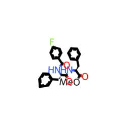 COC(=O)[C@H](Cc1ccccc1)NC(=O)[C@H](Cc1ccccc1)NC(=O)c1ccc(F)cc1